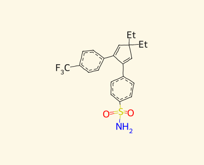 CCC1(CC)C=C(c2ccc(C(F)(F)F)cc2)C(c2ccc(S(N)(=O)=O)cc2)=C1